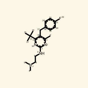 Cc1nc(NCCN(C)C)nc(C(C)(C)C)c1Cc1ccc(F)cc1